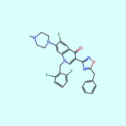 CN1CCN(c2cc3c(cc2F)c(=O)c(-c2noc(Cc4ccccc4)n2)cn3Cc2c(F)cccc2F)CC1